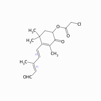 CC1=C(/C=C/C(C)=C/C=O)C(C)(C)CC(OC(=O)CCl)C1=O